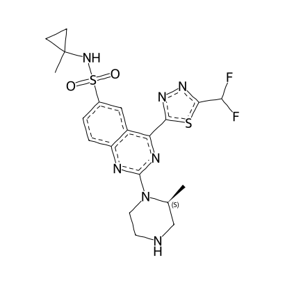 C[C@H]1CNCCN1c1nc(-c2nnc(C(F)F)s2)c2cc(S(=O)(=O)NC3(C)CC3)ccc2n1